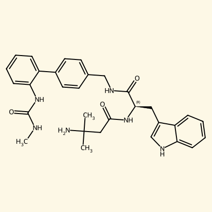 CNC(=O)Nc1ccccc1-c1ccc(CNC(=O)[C@@H](Cc2c[nH]c3ccccc23)NC(=O)CC(C)(C)N)cc1